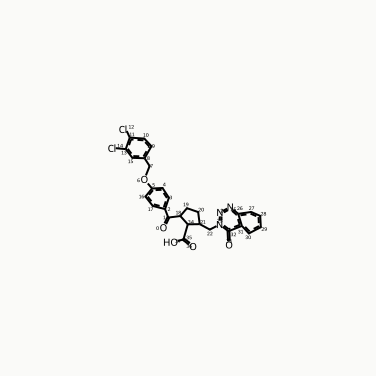 O=C(c1ccc(OCc2ccc(Cl)c(Cl)c2)cc1)C1CCC(Cn2nnc3ccccc3c2=O)C1C(=O)O